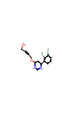 OCC#CCOc1cc(-c2cccc(F)c2F)ncn1